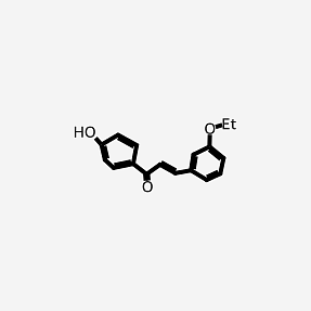 CCOc1cccc(/C=C/C(=O)c2ccc(O)cc2)c1